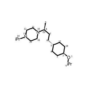 CC(C)O[C@H]1CC[C@H](CC[C@H](C)N2CCN(C(C)C)CC2)CC1